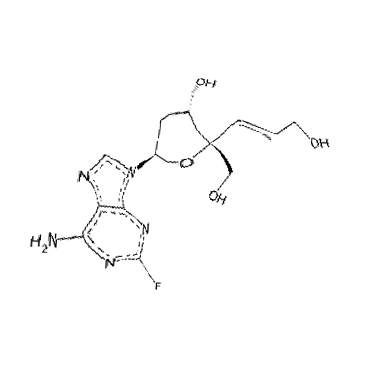 Nc1nc(F)nc2c1ncn2[C@H]1C[C@H](O)[C@@](/C=C/CO)(CO)O1